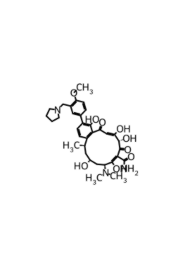 COc1ccc(-c2ccc3c(c2O)C(=O)/C=C(\O)[C@H](O)C(=O)/C(C(N)=O)=C(/O)[C@@H](N(C)C)C[C@@H](O)C[C@H]3C)cc1CN1CCCC1